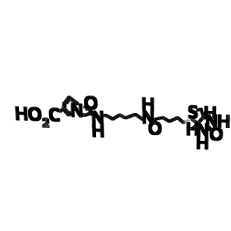 O=C(CCCC[C@@H]1SC[C@@H]2NC(=O)N[C@@H]21)NCCCCCCNC(=O)C[n+]1cccc(C(=O)O)c1